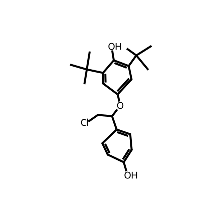 CC(C)(C)c1cc(OC(CCl)c2ccc(O)cc2)cc(C(C)(C)C)c1O